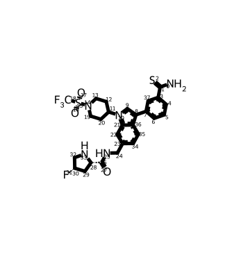 NC(=S)c1cccc(-c2cn(C3CCN(S(=O)(=O)C(F)(F)F)CC3)c3cc(CNC(=O)[C@@H]4C[C@H](F)CN4)ccc23)c1